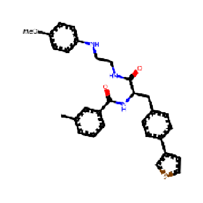 COc1ccc(NCCNC(=O)C(Cc2ccc(-c3ccsc3)cc2)NC(=O)c2cccc(C)c2)cc1